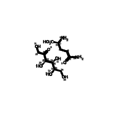 NC(=O)CC[C@H](N)C(=O)O.O=C(CO)[C@@H](O)[C@H](O)[C@H](O)CO